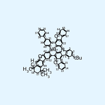 CC(C)(C)c1ccc2c(c1)c1c3c(oc4ccccc43)c3c4c1n2-c1cc2c(cc1B4N(c1ccc(-c4ccccc4)cc1)c1cc4oc5cc6c(cc5c4cc1-3)C(C)(C)CCC6(C)C)oc1ccccc12